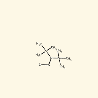 CS(C)(C)N(SCl)S(C)(C)C